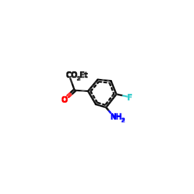 CCOC(=O)C(=O)c1ccc(F)c(N)c1